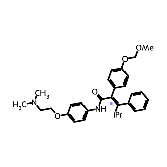 COCOc1ccc(/C(C(=O)Nc2ccc(OCCN(C)C)cc2)=C(\c2ccccc2)C(C)C)cc1